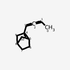 CC=C=CC1=C2CCC(C1)C2